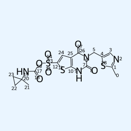 Cc1ncc(Cn2c(=O)[nH]c3sc(S(=O)(=O)OC(=O)NC4(C)CC4)cc3c2=O)s1